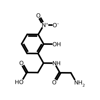 NCC(=O)NC(CC(=O)O)c1cccc([N+](=O)[O-])c1O